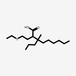 CCCCCCC(C)(CCC)C(CCSCC)C(=O)O